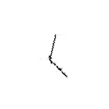 CCOCCOCCNC(=O)COCCOCCNC(=O)CC[C@H](NC(=O)CCCCCCCCCCCCCCCCC(=O)O)C(=O)O